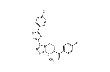 C[C@@H]1c2nnc(-c3csc(-c4ccc(Cl)cc4)n3)n2CCN1C(=O)c1ccc(F)cc1